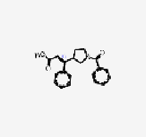 O=C(O)/C=C(\c1ccccc1)C1CCN(C(=O)c2ccccc2)C1